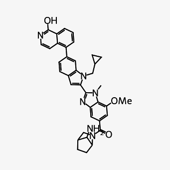 COc1cc(C(=O)N2CC3CCC2C3N)cc2nc(-c3cc4ccc(-c5cccc6c(O)nccc56)cc4n3CC3CC3)n(C)c12